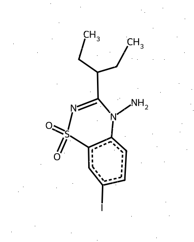 CCC(CC)C1=NS(=O)(=O)c2cc(I)ccc2N1N